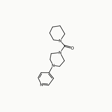 O=C(N1CCCCC1)N1CCN(c2ccncc2)CC1